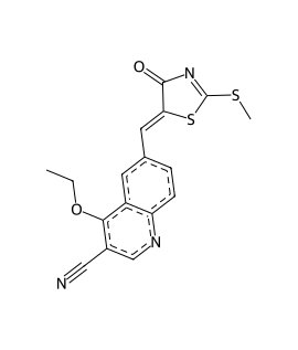 CCOc1c(C#N)cnc2ccc(/C=C3\SC(SC)=NC3=O)cc12